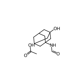 CC(=O)O.O=CNC12CC3CC(CC(O)(C3)C1)C2